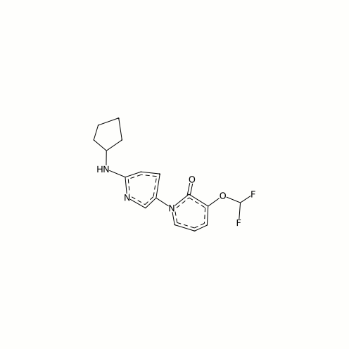 O=c1c(OC(F)F)cccn1-c1ccc(NC2CCCC2)nc1